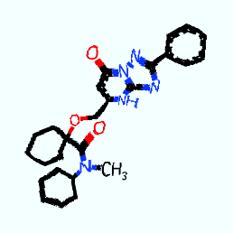 CN(C(=O)C1(OCc2cc(=O)n3nc(-c4ccccc4)nc3[nH]2)CCCCC1)C1CCCCC1